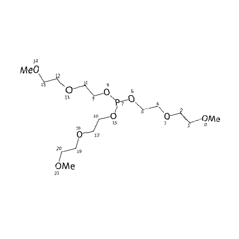 COCCOCCOP(OCCOCCOC)OCCOCCOC